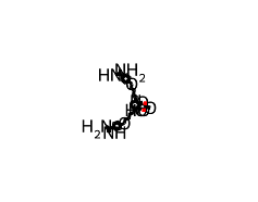 CC(=O)O.N=C(N)c1ccc(OCCCCN2CCN(CCCCOc3ccc(C(=N)N)cc3)C(=O)C2=O)cc1